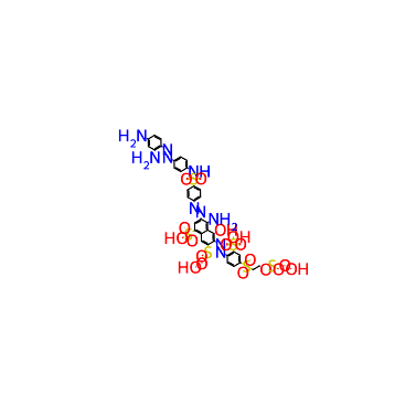 Nc1ccc(/N=N/c2ccc(NS(=O)(=O)c3ccc(/N=N/c4cc(S(=O)(=O)O)c5cc(SOOO)c(/N=N/c6ccc(S(=O)(=O)CCOSOOO)cc6S(=O)(=O)O)c(O)c5c4N)cc3)cc2)c(N)c1